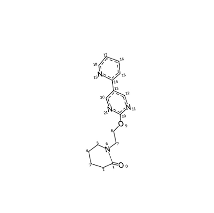 O=C1CCCCN1CCOc1ncc(-c2ccccn2)cn1